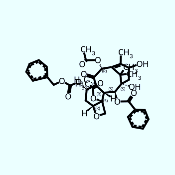 CC(=O)O[C@H]1C(=O)[C@]2(C)[C@@H](OC(=O)OCc3ccccc3)C[C@H]3OC[C@@]3(OC(C)=O)[C@H]2[C@H](OC(=O)c2ccccc2)[C@]2(O)CC(O)C(C)=C1C2(C)C